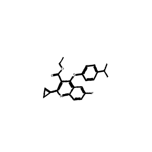 CCOC(=O)c1c(C2CC2)nc2ccc(F)cc2c1Sc1ccc(C(C)C)cc1